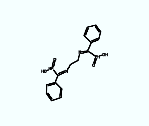 O=[PH](O)C(=NCCN=C(c1ccccc1)[PH](=O)O)c1ccccc1